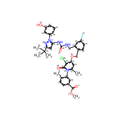 COC(=O)c1ccc(C)c(-n2c(C)cc(OCc3ccc(F)cc3CNC(=O)Nc3cc(C(C)(C)C)nn3-c3cccc(O)c3)c(Cl)c2=O)c1